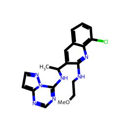 COCCNc1nc2c(Cl)cccc2cc1C(C)Nc1ncnc2ccnn12